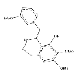 COc1cccc(CC2NCCc3cc(OC)c(OC)c(O)c32)c1